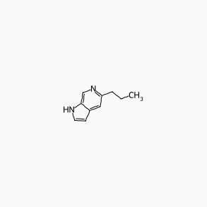 CCCc1cc2cc[nH]c2cn1